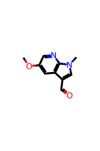 COc1cnc2c(c1)c(C=O)cn2C